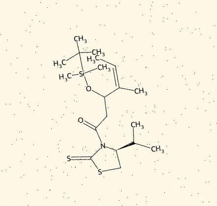 C/C=C(/C)C(CC(=O)N1C(=S)SC[C@@H]1C(C)C)O[Si](C)(C)C(C)(C)C